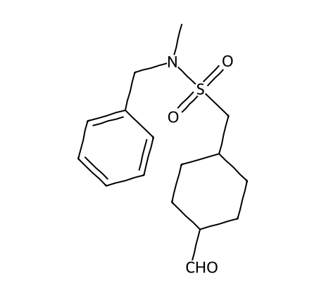 CN(Cc1ccccc1)S(=O)(=O)CC1CCC(C=O)CC1